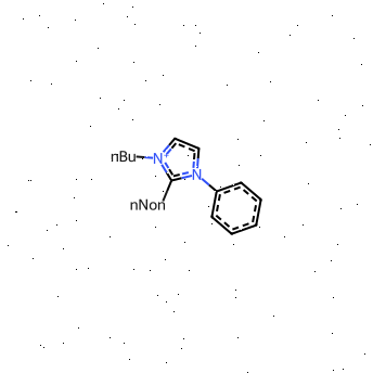 CCCCCCCCCc1n(-c2ccccc2)cc[n+]1CCCC